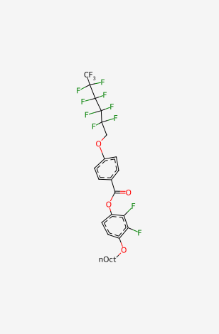 CCCCCCCCOc1ccc(OC(=O)c2ccc(OCC(F)(F)C(F)(F)C(F)(F)C(F)(F)C(F)(F)F)cc2)c(F)c1F